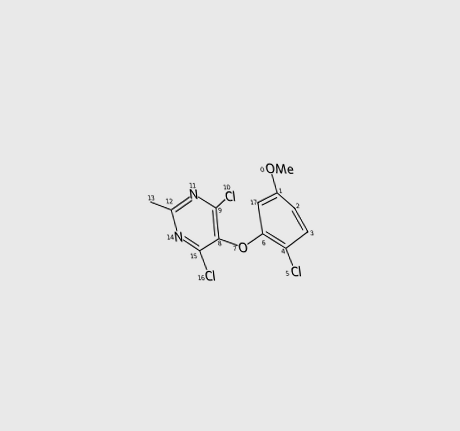 COc1ccc(Cl)c(Oc2c(Cl)nc(C)nc2Cl)c1